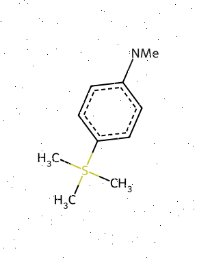 CNc1ccc(S(C)(C)C)cc1